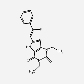 CCn1c(=O)c2[nH]c(/C=C(\F)c3ccccc3)nc2n(CC)c1=O